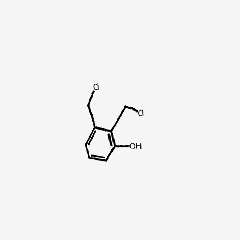 Oc1cccc(CCl)c1CCl